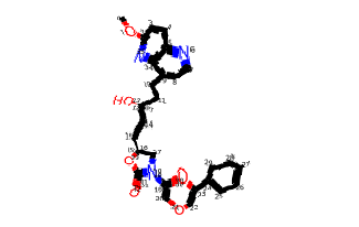 COc1ccc2nccc(CC[C@@H](O)CC[C@H]3CN(C4=COC=C(C5=CC=CCC5)O4)C(=O)O3)c2n1